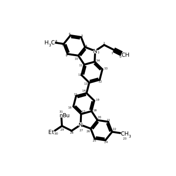 C#CCn1c2ccc(C)cc2c2cc(-c3ccc4c(c3)c3cc(C)ccc3n4CC(CC)CCCC)ccc21